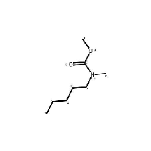 CCCCCN(C)C(=O)OC